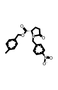 Cc1ccc(COC(=O)[C@@H]2CCC(=O)N2Cc2ccc([N+](=O)[O-])cc2)cc1